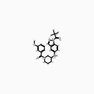 CSc1cccc(C(=O)N2CCCC(Nc3ccc4c(cnn4C(=O)C(C)(C)C)c3)C2)c1